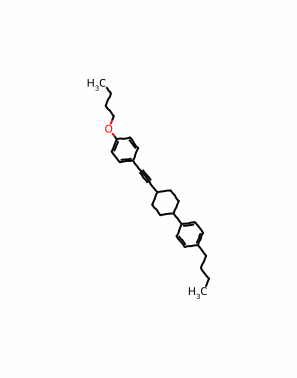 CCCCOc1ccc(C#CC2CCC(c3ccc(CCCC)cc3)CC2)cc1